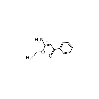 CCO/C(N)=C\C(=O)c1ccccc1